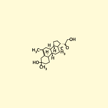 CC1=C2C[C@@](C)(O)CC[C@@H]2[C@H]2CC[C@]3(C)[C@@H](C(=O)CO)CC[C@H]3[C@@H]2C1